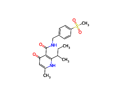 CCC(C)c1[nH]c(C)cc(=O)c1C(=O)NCc1ccc(S(C)(=O)=O)cc1